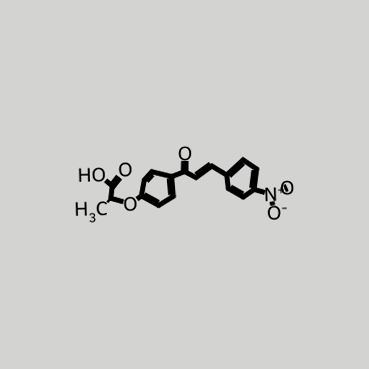 C[C@@H](Oc1ccc(C(=O)/C=C/c2ccc([N+](=O)[O-])cc2)cc1)C(=O)O